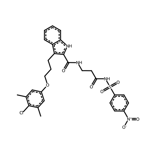 Cc1cc(OCCCc2c(C(=O)NCCC(=O)NS(=O)(=O)c3ccc([N+](=O)[O-])cc3)[nH]c3ccccc23)cc(C)c1Cl